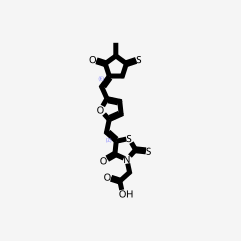 CC1C(=O)/C(=C/c2ccc(/C=C3\SC(=S)N(CC(=O)O)C3=O)o2)CC1=S